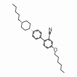 CCCCCCOc1ccc(-c2ccc([C@H]3CC[C@H](CCCCC)CC3)cc2)c(C#N)c1